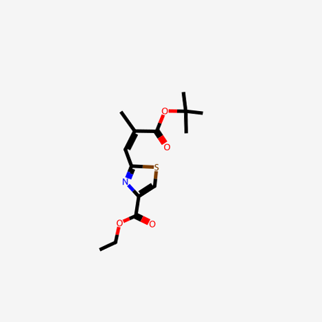 CCOC(=O)c1csc(C=C(C)C(=O)OC(C)(C)C)n1